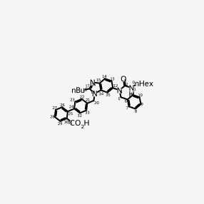 CCCCCCNC(=O)N(Cc1ccccc1)c1ccc2nc(CCCC)n(Cc3ccc(-c4ccccc4C(=O)O)cc3)c2c1